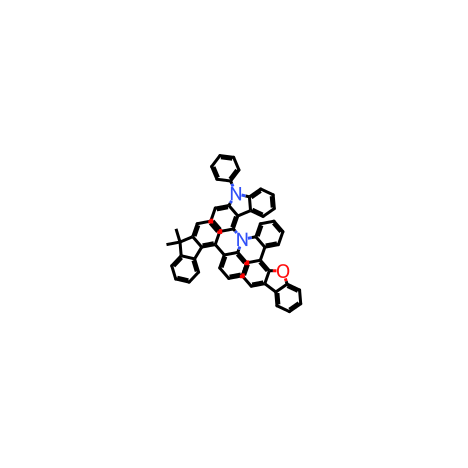 CC1(C)c2ccccc2-c2c(-c3ccccc3N(c3ccccc3-c3cccc4c3oc3ccccc34)c3cccc4c3c3ccccc3n4-c3ccccc3)cccc21